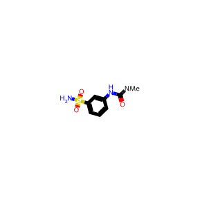 CNC(=O)Nc1cccc(S(N)(=O)=O)c1